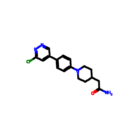 NC(=O)CC1CCN(c2ccc(-c3cnnc(Cl)c3)cc2)CC1